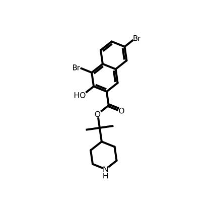 CC(C)(OC(=O)c1cc2cc(Br)ccc2c(Br)c1O)C1CCNCC1